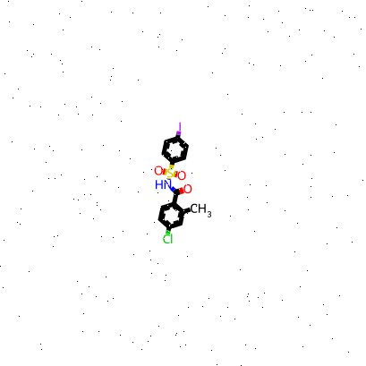 Cc1cc(Cl)ccc1C(=O)NS(=O)(=O)c1ccc(I)cc1